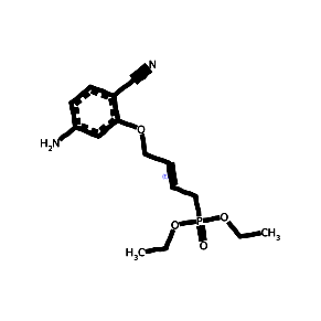 CCOP(=O)(C/C=C/COc1cc(N)ccc1C#N)OCC